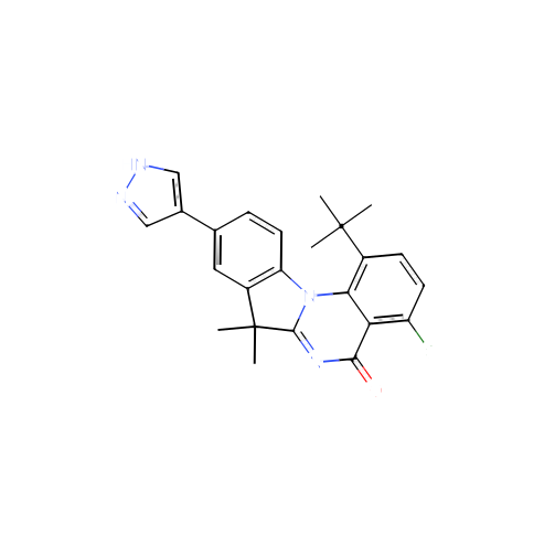 CC(C)(C)c1ccc(Cl)c2c(=O)nc3n(c12)-c1ccc(-c2cn[nH]c2)cc1C3(C)C